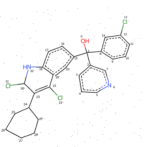 OC(c1cccnc1)(c1cccc(Cl)c1)c1ccc2c(c1)C(Cl)=C(C1CCCCC1)C(Cl)N2